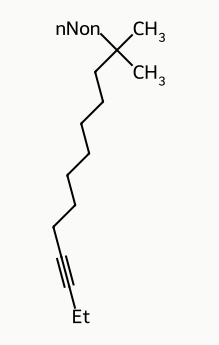 [CH2]CC#CCCCCCCCC(C)(C)CCCCCCCC[CH2]